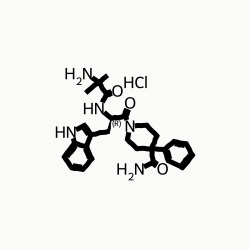 CC(C)(N)C(=O)N[C@H](Cc1c[nH]c2ccccc12)C(=O)N1CCC(C(N)=O)(c2ccccc2)CC1.Cl